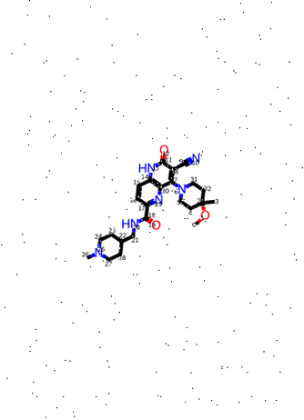 COC1(C)CCN(c2c(C#N)c(=O)[nH]c3ccc(C(=O)NCC4CCN(C)CC4)nc23)CC1